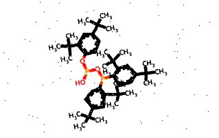 CC(C)(C)c1ccc(OP(O)OP(c2ccc(C(C)(C)C)cc2C(C)(C)C)c2ccc(C(C)(C)C)cc2C(C)(C)C)c(C(C)(C)C)c1